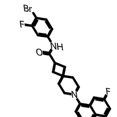 O=C(Nc1ccc(Br)c(F)c1)C1CC2(CCN(c3ccnc4ccc(F)cc34)CC2)C1